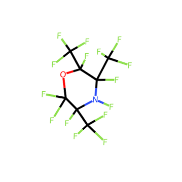 FN1C(F)(C(F)(F)F)C(F)(F)OC(F)(C(F)(F)F)C1(F)C(F)(F)F